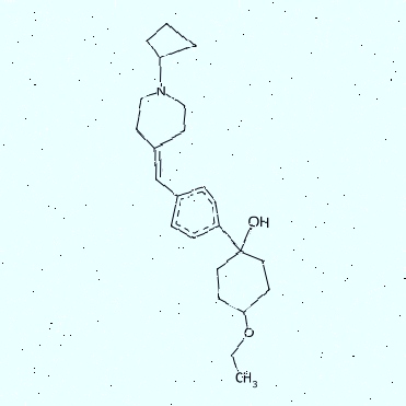 CCOC1CCC(O)(c2ccc(C=C3CCN(C4CCC4)CC3)cc2)CC1